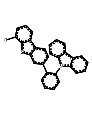 Clc1cccc2c1sc1cc(-c3ccccc3-n3c4ccccc4c4ccccc43)ccc12